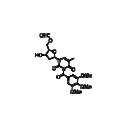 COc1cc(C(=O)n2c(=O)c(C)cn([C@H]3C[C@@H](O)C(COC=O)O3)c2=O)cc(OC)c1OC